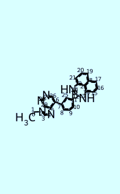 CCn1cnc2c(-c3cccc(B4Nc5cccc6cccc(c56)N4)c3)cnnc21